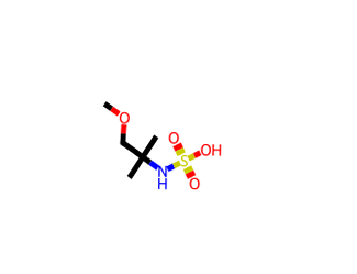 COCC(C)(C)NS(=O)(=O)O